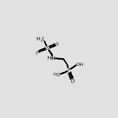 CS(=O)(=O)NCP(=O)(O)O